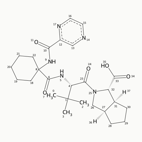 CC(C)(C)[C@H](NC(=O)C1(NC(=O)c2cnccn2)CCCCC1)C(=O)N1C[C@@H]2CCC[C@@H]2[C@H]1C(=O)O